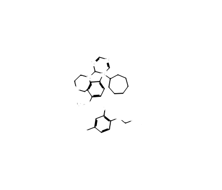 COc1ccc([N+]2(C3CCCCCC3)C=NC=NC2N2CCOCC2)cc1.O=C(O)COc1ccc(Cl)cc1Cl